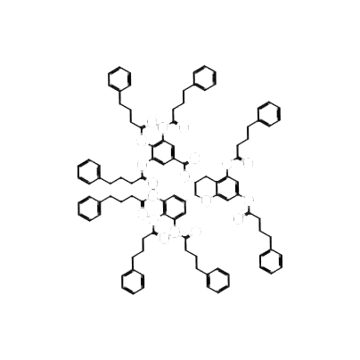 O=C(CCCc1ccccc1)Oc1cc(OC(=O)CCCc2ccccc2)c2c(c1)O[C@H](c1cc(OC(=O)CCCc3ccccc3)c(OC(=O)CCCc3ccccc3)c(OC(=O)CCCc3ccccc3)c1)[C@H](OC(=O)c1cc(OC(=O)CCCc3ccccc3)c(OC(=O)CCCc3ccccc3)c(OC(=O)CCCc3ccccc3)c1)C2